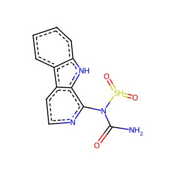 NC(=O)N(c1nccc2c1[nH]c1ccccc12)[SH](=O)=O